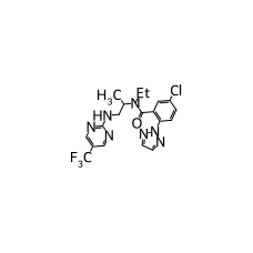 CCN(C(=O)c1cc(Cl)ccc1-n1nccn1)C(C)CNc1ncc(C(F)(F)F)cn1